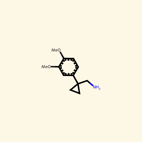 COc1ccc(C2(CN)CC2)cc1OC